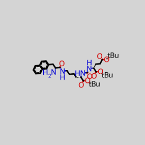 CC(C)(C)OC(=O)CC[C@H](NC(=O)N[C@@H](CCCCNC(=O)[C@@H](N)Cc1ccc2ccccc2c1)C(=O)OC(C)(C)C)C(=O)OC(C)(C)C